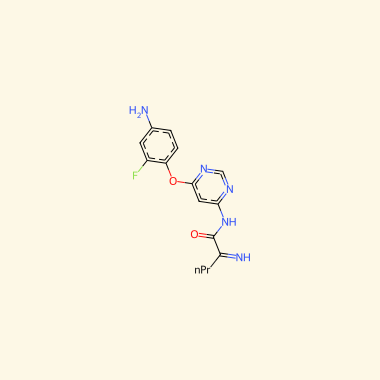 CCCC(=N)C(=O)Nc1cc(Oc2ccc(N)cc2F)ncn1